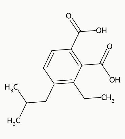 CCc1c(CC(C)C)ccc(C(=O)O)c1C(=O)O